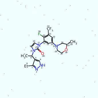 CCc1n[nH]cc1C(C)n1ccn(-c2cc(N3CCO[C@H](C)C3)cc(C(F)(F)F)c2F)c1=O